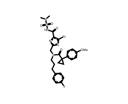 CCc1sc(CN(CCCc2ccc(F)cc2)C(=O)C2(c3ccc(OC)cc3)CC2)nc1C(=O)NS(=O)(=O)N(C)C